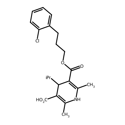 CC1=C(C(=O)O)C(C(C)C)C(C(=O)OCCCc2ccccc2Cl)=C(C)N1